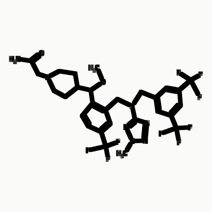 COC(c1ccc(C(F)(F)F)cc1CN(Cc1cc(C(F)(F)F)cc(C(F)(F)F)c1)c1nnn(C)n1)C1CCN(CC(N)=O)CC1